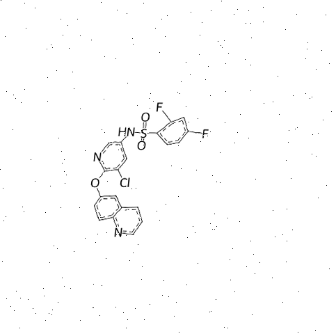 O=S(=O)(Nc1cnc(Oc2ccc3ncccc3c2)c(Cl)c1)c1ccc(F)cc1F